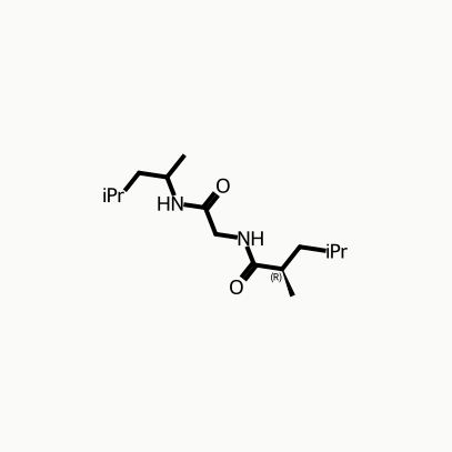 CC(C)CC(C)NC(=O)CNC(=O)[C@H](C)CC(C)C